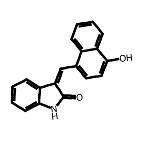 O=C1Nc2ccccc2C1=Cc1ccc(O)c2ccccc12